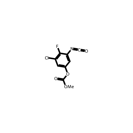 COC(=O)Oc1cc(Cl)c(F)c(N=C=O)c1